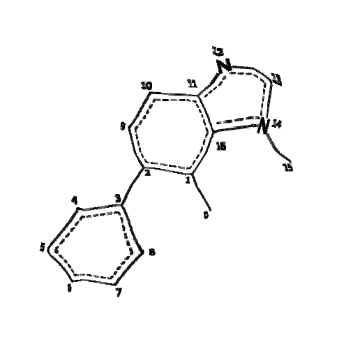 Cc1c(-c2ccccc2)ccc2ncn(C)c12